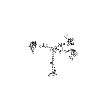 CC(=O)N[C@H]1[C@H](OCCOCCNCC(=O)CCOCC(COCCC(=O)NCCOCCO[C@@H]2O[C@H](COC(C)=O)[C@H](OC(C)=O)[C@H](OC(C)=O)[C@H]2NC(C)=O)(COCCC(=O)NCCOCCO[C@@H]2O[C@H](COC(C)=O)[C@H](OC(C)=O)[C@H](OC(C)=O)[C@H]2NC(C)=O)NC(=O)CCOCCOCCNC(=O)CC2CCC(OP(OCCC#N)N(C(C)C)C(C)C)CC2)O[C@H](COC(C)=O)[C@H](OC(C)=O)[C@@H]1OC(C)=O